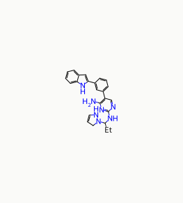 CCC(Nc1ncc(-c2cccc(-c3cc4ccccc4[nH]3)c2)c(N)n1)N1CC=CN1